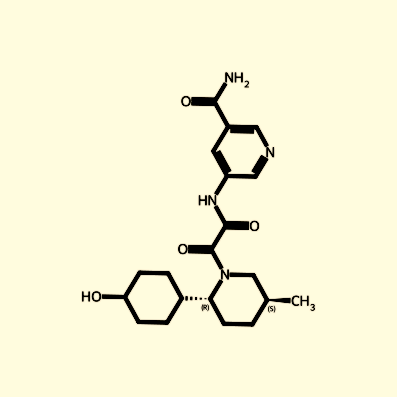 C[C@H]1CC[C@H](C2CCC(O)CC2)N(C(=O)C(=O)Nc2cncc(C(N)=O)c2)C1